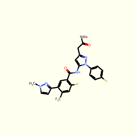 CNC(=O)Cc1cc(NC(=O)c2cc(-c3ccn(C)n3)c(C(F)(F)F)cc2F)n(-c2ccc(F)cc2)n1